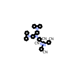 N#Cc1cccc(-c2cc(-c3c(C#N)cc(-n4c5ccc(-n6c7ccccc7c7ccccc76)cc5c5cc(-n6c7ccccc7c7ccccc76)ccc54)cc3C#N)nc(-c3cccc(C#N)c3)n2)c1